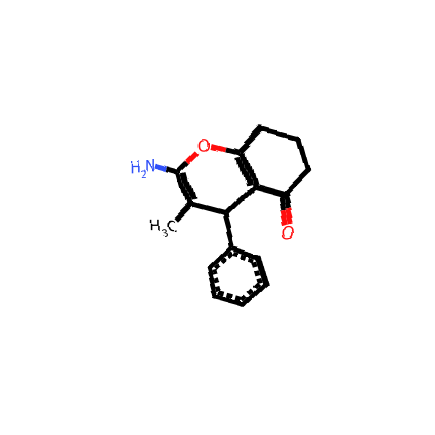 CC1=C(N)OC2=C(C(=O)CCC2)C1c1ccccc1